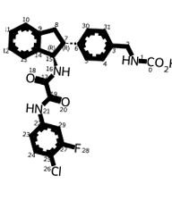 O=C(O)NCc1ccc([C@H]2Cc3ccccc3[C@@H]2NC(=O)C(=O)Nc2ccc(Cl)c(F)c2)cc1